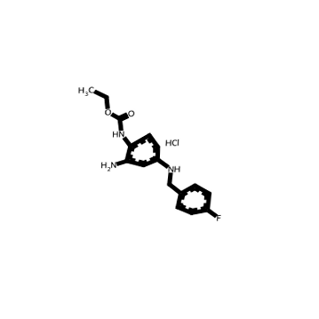 CCOC(=O)Nc1ccc(NCc2ccc(F)cc2)cc1N.Cl